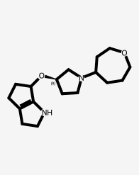 C1COCCC(N2CC[C@@H](OC3CCC4=C3NCC4)C2)C1